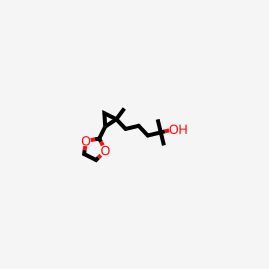 CC(C)(O)CCCC1(C)CC1C1OCCO1